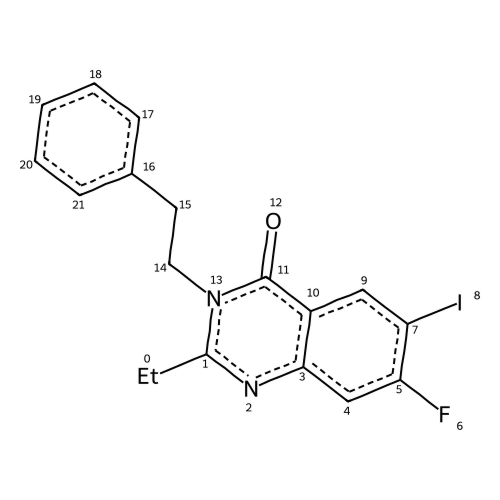 CCc1nc2cc(F)c(I)cc2c(=O)n1CCc1ccccc1